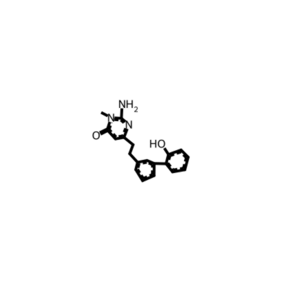 Cn1c(N)nc(CCc2cccc(-c3ccccc3O)c2)cc1=O